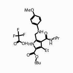 CCCNC(=O)c1c(CNc2ccc(OC)cc2)[nH]c(C(=O)OC(C)(C)C)c1CC.O=C(O)C(F)(F)F